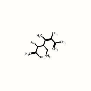 C=C(C)/C(C)=C(/C)[C@@H](CN)[C@@H](C(=C)N)C(C)=O